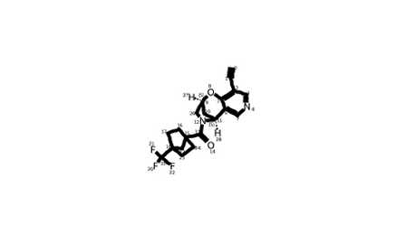 C#Cc1cncc2c1O[C@H]1C[C@@H]2N(C(=O)C23CCC(C(F)(F)F)(CC2)C3)C1